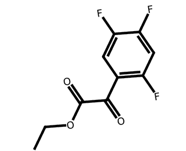 CCOC(=O)C(=O)c1cc(F)c(F)cc1F